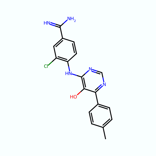 Cc1ccc(-c2ncnc(Nc3ccc(C(=N)N)cc3Cl)c2O)cc1